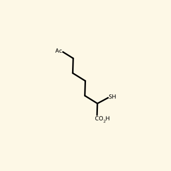 CC(=O)CCCCC(S)C(=O)O